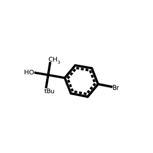 CC(C)(C)C(C)(O)c1ccc(Br)cc1